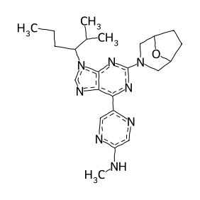 CCCC(C(C)C)n1cnc2c(-c3cnc(NC)cn3)nc(N3CC4CCC(C3)O4)nc21